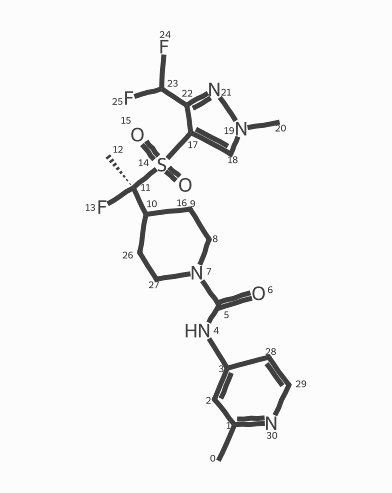 Cc1cc(NC(=O)N2CCC([C@@](C)(F)S(=O)(=O)c3cn(C)nc3C(F)F)CC2)ccn1